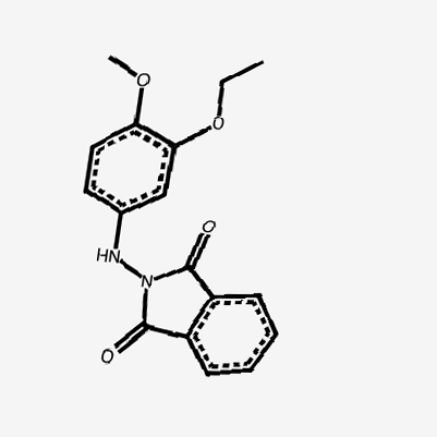 CCOc1cc(NN2C(=O)c3ccccc3C2=O)ccc1OC